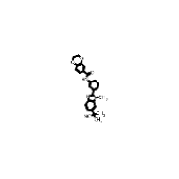 Cn1c(C2CCCC(NC(=O)c3ccc4c(c3)OCCO4)C2)nc2ccc(C(C)(C)C#N)cc21